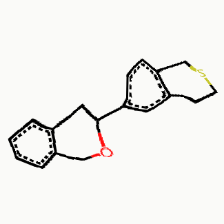 c1ccc2c(c1)COC(c1ccc3c(c1)CCSC3)C2